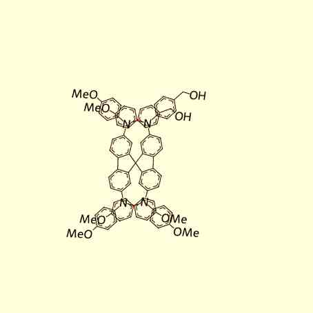 COc1ccc(N(c2ccc(CO)cc2)c2ccc3c(c2)C2(c4cc(N(c5ccc(CO)cc5)c5ccc(OC)cc5)ccc4-c4ccc(N(c5ccc(OC)cc5)c5ccc(OC)cc5)cc42)c2cc(N(c4ccc(OC)cc4)c4ccc(OC)cc4)ccc2-3)cc1